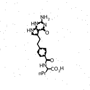 CCCC(NC(=O)c1ccc(CCc2c[nH]c3[nH]c(N)nc(=O)c23)cc1)C(=O)O